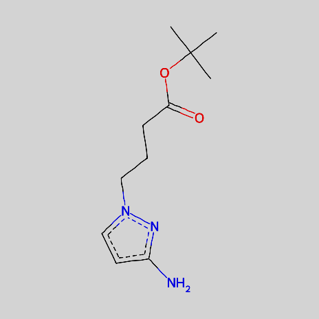 CC(C)(C)OC(=O)CCCn1ccc(N)n1